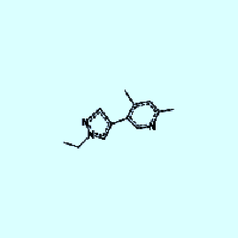 CCn1cc(-c2cnc(C)cc2C)cn1